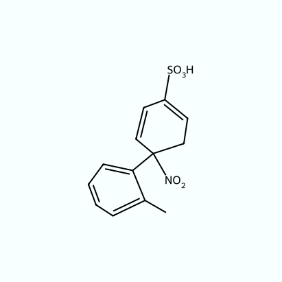 Cc1ccccc1C1([N+](=O)[O-])C=CC(S(=O)(=O)O)=CC1